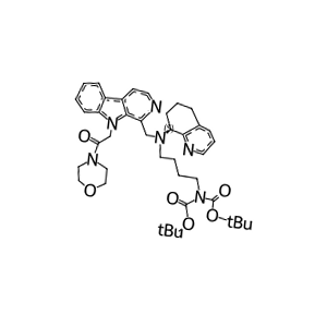 CC(C)(C)OC(=O)N(CCCCN(Cc1nccc2c3ccccc3n(CC(=O)N3CCOCC3)c12)[C@H]1CCCc2cccnc21)C(=O)OC(C)(C)C